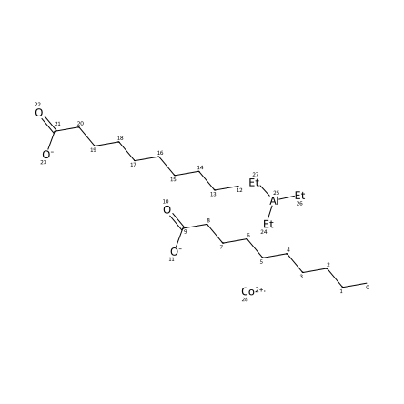 CCCCCCCCCC(=O)[O-].CCCCCCCCCC(=O)[O-].C[CH2][Al]([CH2]C)[CH2]C.[Co+2]